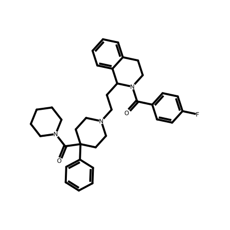 O=C(c1ccc(F)cc1)N1CCc2ccccc2C1CCN1CCC(C(=O)N2CCCCC2)(c2ccccc2)CC1